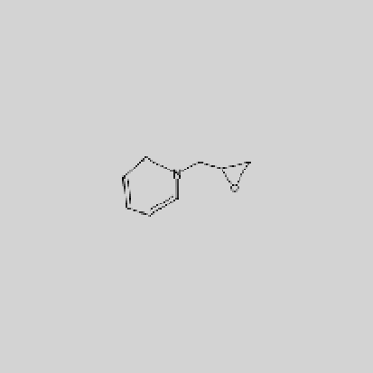 C1=CCN(CC2CO2)C=C1